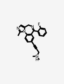 Cc1ncc2n1-c1ccc(C#CC[SiH](C)C)cc1C(c1ccccc1F)=NC2